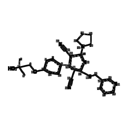 CC(C)(O)COc1ccc(-c2c(C#N)c(SCc3cccnc3)nc(N3CCCC3)c2C#N)cc1